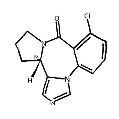 O=C1c2c(Cl)cccc2-n2cncc2[C@@H]2CCCN12